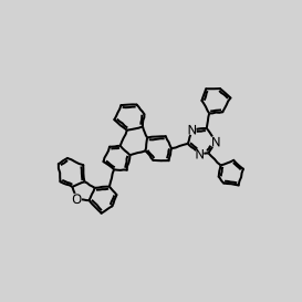 c1ccc(-c2nc(-c3ccccc3)nc(-c3ccc4c(c3)c3ccccc3c3ccc(-c5cccc6oc7ccccc7c56)cc34)n2)cc1